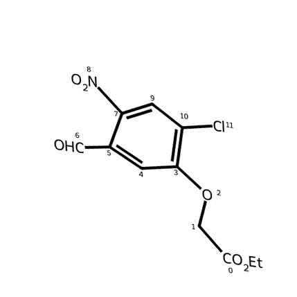 CCOC(=O)COc1cc(C=O)c([N+](=O)[O-])cc1Cl